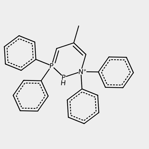 CC1=C[N+](c2ccccc2)(c2ccccc2)PP(c2ccccc2)(c2ccccc2)=C1